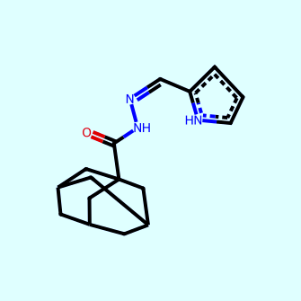 O=C(N/N=C\c1ccc[nH]1)C12CC3CC(CC(C3)C1)C2